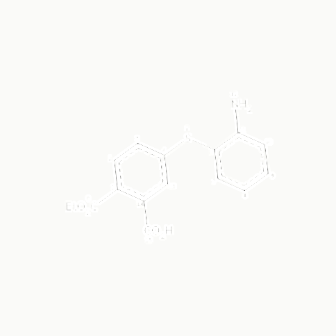 CCOC(=O)c1ccc(Sc2ccccc2N)cc1C(=O)O